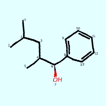 CC(C)CC(C)[C@H](O)c1ccccc1